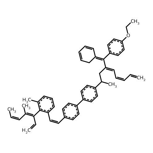 C=C\C=C/C=C(CC(C)c1ccc(-c2ccc(/C=C\c3cccc(C)c3/C(C=C)=C(C)/C=C\C)cc2)cc1)/C(=C1/C=CC=CC1)c1ccc(OCC)cc1